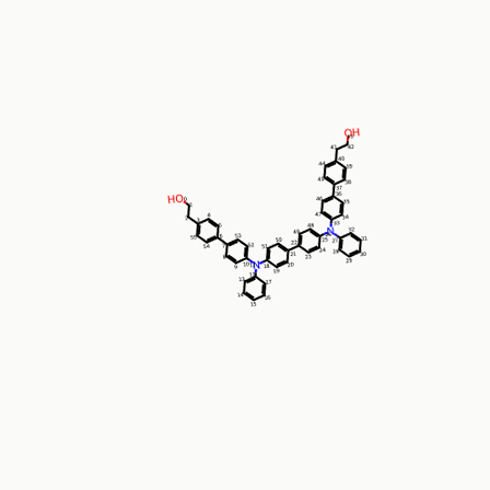 OCCc1ccc(-c2ccc(N(c3ccccc3)c3ccc(-c4ccc(N(c5ccccc5)c5ccc(-c6ccc(CCO)cc6)cc5)cc4)cc3)cc2)cc1